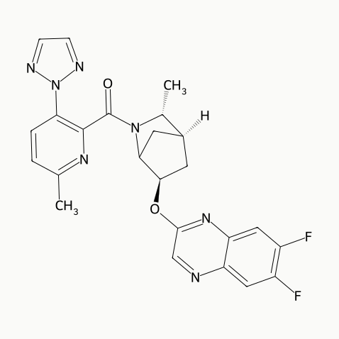 Cc1ccc(-n2nccn2)c(C(=O)N2C3C[C@H](C[C@H]3Oc3cnc4cc(F)c(F)cc4n3)[C@H]2C)n1